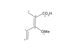 C=C/C(OC)=C(\C)C(=O)O